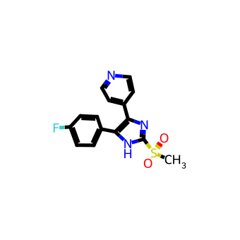 CS(=O)(=O)c1nc(-c2ccncc2)c(-c2ccc(F)cc2)[nH]1